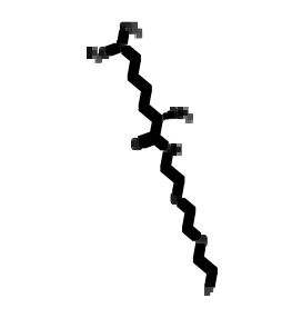 CN(C)CCCC[C@H](N)C(=O)NCCOCCOCCF